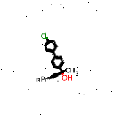 CCCC#CC(C)(O)c1ccc(-c2ccc(Cl)cc2)cc1